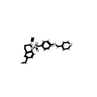 C#C[C@H]1CCc2cc(CC)ccc2N1S(=O)(=O)c1ccc(OCC2CCOCC2)cc1